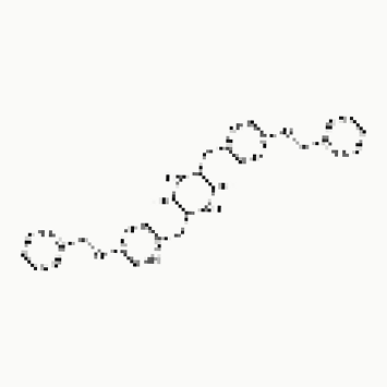 O=C1NC(Cc2ccc(OCc3ccccc3)cn2)C(=O)NC1Cc1ccc(OCc2ccccc2)cc1